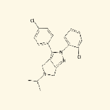 CC(C)N1Cc2nn(-c3ccccc3Cl)c(-c3ccc(Cl)cc3)c2C1